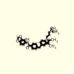 Cc1c(C)n(CCCN(C)C)c2ccc(Cc3ccc(C(=O)Nc4ccc5c(c4)OCO5)cc3)cc12